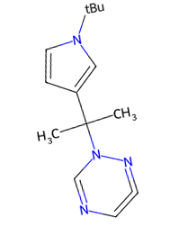 CC(C)(c1ccn(C(C)(C)C)c1)N1C=NC=C=N1